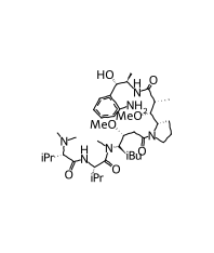 CC[C@H](C)[C@@H]([C@@H](CC(=O)N1CCC[C@H]1[C@H](OC)[C@@H](C)C(=O)N[C@H](C)[C@@H](O)c1ccccc1N)OC)N(C)C(=O)[C@@H](NC(=O)[C@H](C(C)C)N(C)C)C(C)C